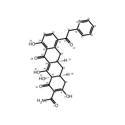 NC(=O)C1=C(O)C[C@@H]2C[C@@H]3Cc4c(C(=O)Cc5ccccn5)ccc(O)c4C(=O)C3=C(O)[C@]2(O)C1=O